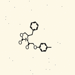 Cc1ccc(OCC(=O)N2C(=O)OCC2Cc2ccccc2)cc1